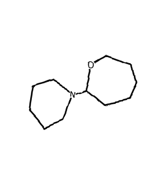 C1CCOC(N2CCCCC2)CC1